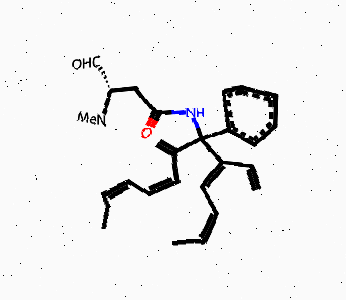 C=C/C(=C\C=C/C)C(NC(=O)C[C@@H](C=O)NC)(C(=C)/C=C\C=C/C)c1ccccc1